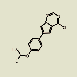 CC(C)Oc1ccc(-c2cc3c(Cl)ncnn3c2)cc1